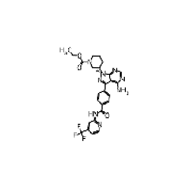 CCOC(=O)N1CCC[C@@H](n2nc(-c3ccc(C(=O)Nc4cc(C(F)(F)F)ccn4)cc3)c3c(N)ncnc32)C1